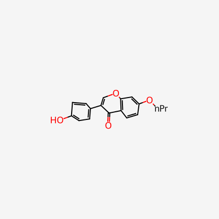 CCCOc1ccc2c(=O)c(-c3ccc(O)cc3)coc2c1